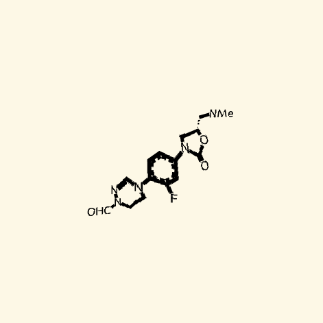 CNC[C@H]1CN(c2ccc(N3C=NN(C=O)CC3)c(F)c2)C(=O)O1